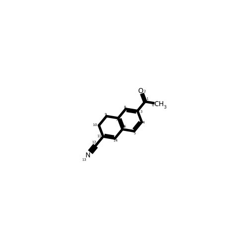 CC(=O)c1ccc2c(c1)CCC(C#N)=C2